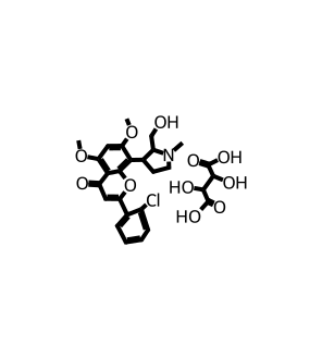 COc1cc(OC)c2c(=O)cc(-c3ccccc3Cl)oc2c1C1CCN(C)C1CO.O=C(O)C(O)C(O)C(=O)O